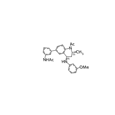 COc1cccc(N[C@@H]2C[C@H](C)N(C(C)=O)c3ccc(-c4cccc(NC(C)=O)c4)cc32)c1